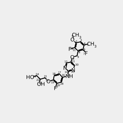 COc1cc(C)c(F)c(COc2cnc(Nc3ccc(OCC(O)CO)c(F)c3)nc2)c1F